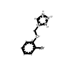 Brc1ccccc1OCn1cnnn1